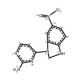 Nc1nccc(N2CNc3ccc([N+](=O)[O-])cc32)n1